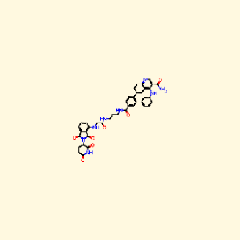 NC(=O)c1cnc2ccc(-c3ccc(C(=O)NCCCNC(=O)CNc4cccc5c4C(=O)N(C4CCC(=O)NC4=O)C5=O)cc3)cc2c1Nc1ccccc1